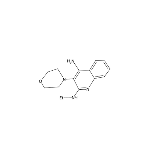 CCNc1nc2ccccc2c(N)c1N1CCOCC1